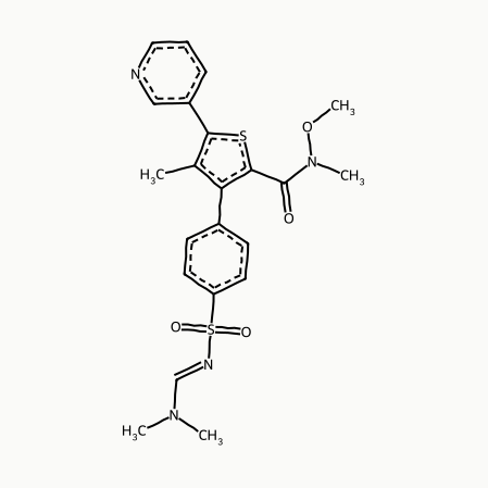 CON(C)C(=O)c1sc(-c2cccnc2)c(C)c1-c1ccc(S(=O)(=O)N=CN(C)C)cc1